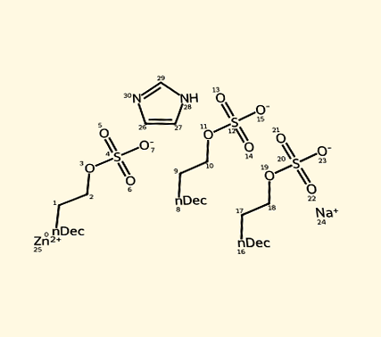 CCCCCCCCCCCCOS(=O)(=O)[O-].CCCCCCCCCCCCOS(=O)(=O)[O-].CCCCCCCCCCCCOS(=O)(=O)[O-].[Na+].[Zn+2].c1c[nH]cn1